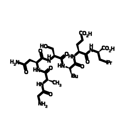 CC[C@H](C)[C@H](NC(=O)[C@H](CO)NC(=O)[C@H](CC(N)=O)NC(=O)[C@H](C)NC(=O)CN)C(=O)N[C@@H](CCC(=O)O)C(=O)N[C@@H](CC(C)C)C(=O)O